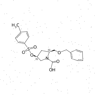 Cc1ccc(S(=O)(=O)O[C@H]2C[C@@H](COCc3ccccc3)N(C(=O)O)C2)cc1